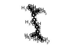 Cc1cc(C2=CCN(C(=NC(=O)OC(C)(C)C)NC(=O)OC(C)(C)C)CC2)ccc1C(=O)Nc1ccc(C2=CCN(C(=NC(=O)OC(C)(C)C)NC(=O)OC(C)(C)C)CC2)c(F)c1